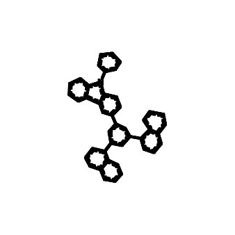 c1ccc(-n2c3ccccc3c3cc(-c4cc(-c5cccc6ccccc56)cc(-c5cccc6ccccc56)c4)ccc32)cc1